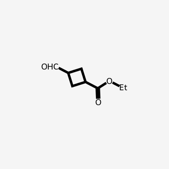 CCOC(=O)C1CC(C=O)C1